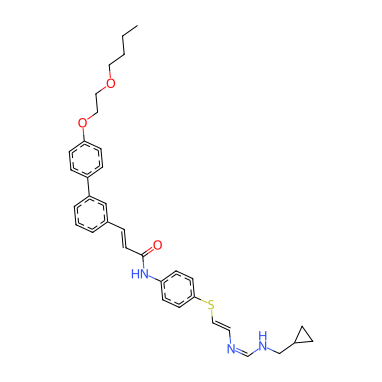 CCCCOCCOc1ccc(-c2cccc(/C=C/C(=O)Nc3ccc(S/C=C/N=C\NCC4CC4)cc3)c2)cc1